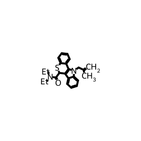 C=C(C)Cn1c2c(c3ccccc31)C(C(=O)N(CC)CC)Sc1ccccc1-2